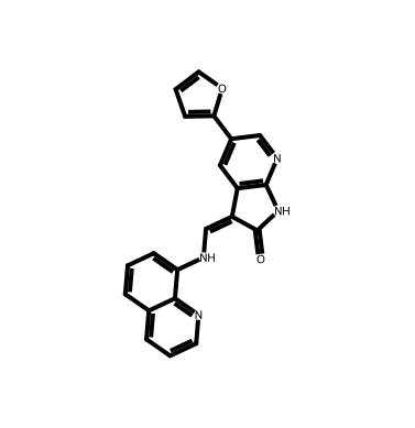 O=C1Nc2ncc(-c3ccco3)cc2C1=CNc1cccc2cccnc12